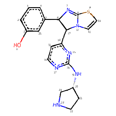 Oc1cccc(C2N=C3SC=CN3C2c2ccnc(N[C@@H]3CCNC3)n2)c1